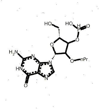 CCCOC1C(O[PH](=O)O)[C@@H](CO)O[C@H]1n1cnc2c(=O)[nH]c(N)nc21